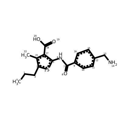 CCCc1sc(NC(=O)c2ccc(CN)cc2)c(C(=O)O)c1C